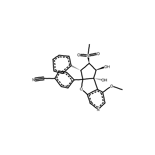 COc1cncc2c1[C@]1(O)[C@H](O)[C@H](S(C)(=O)=O)[C@@H](c3ccccc3)C1(c1ccc(C#N)cc1)O2